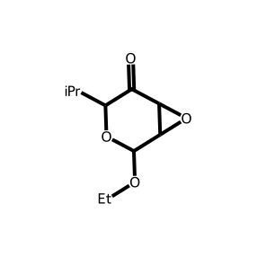 CCOC1OC(C(C)C)C(=O)C2OC12